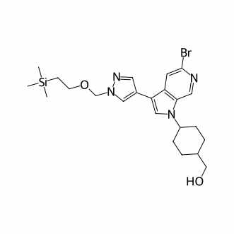 C[Si](C)(C)CCOCn1cc(-c2cn(C3CCC(CO)CC3)c3cnc(Br)cc23)cn1